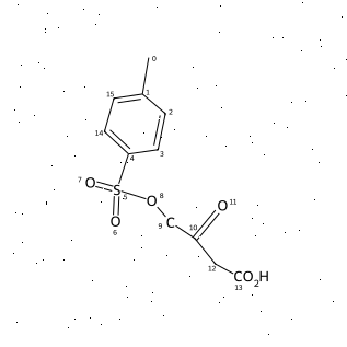 Cc1ccc(S(=O)(=O)OCC(=O)CC(=O)O)cc1